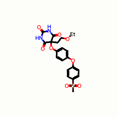 CCOCCC1(Oc2ccc(Oc3ccc(S(C)(=O)=O)cc3)cc2)C(=O)NC(=O)NC1=O